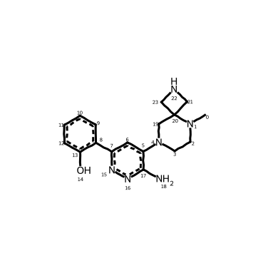 CN1CCN(c2cc(-c3ccccc3O)nnc2N)CC12CNC2